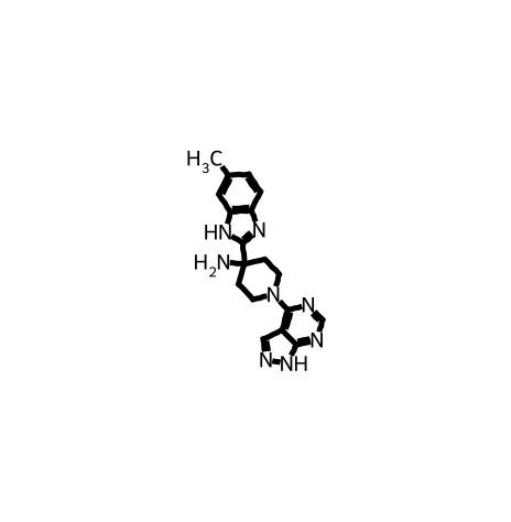 Cc1ccc2nc(C3(N)CCN(c4ncnc5[nH]ncc45)CC3)[nH]c2c1